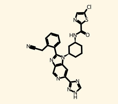 N#CCc1ccccc1-c1nc2cnc(-c3nc[nH]n3)cc2n1[C@@H]1CCC[C@H](NC(=O)c2ncc(Cl)s2)C1